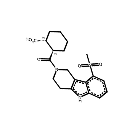 CS(=O)(=O)c1cccc2[nH]c3c(c12)CN(C(=O)[C@@H]1CCCC[C@H]1C(=O)O)CC3